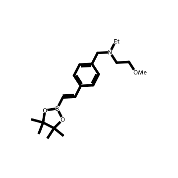 CCN(CCOC)Cc1ccc(C=CB2OC(C)(C)C(C)(C)O2)cc1